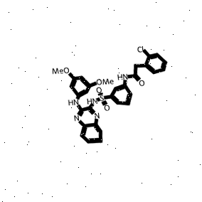 COc1cc(Nc2nc3ccccc3nc2NS(=O)(=O)c2cccc(NC(=O)Cc3ccccc3Cl)c2)cc(OC)c1